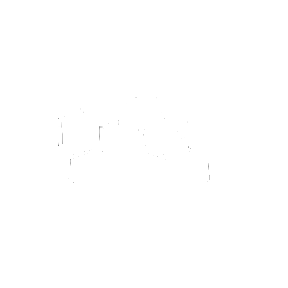 CC(C)Oc1ccn2c(-c3nccc(N)n3)cnc2c1